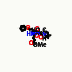 COC(=O)CCC(=O)NC(CCOc1ccccc1)C(=O)NCC(=O)N1[C@H]2C[C@@]2(C)C[C@H]1C(=O)O